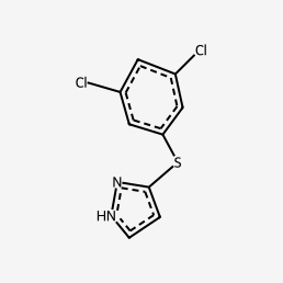 Clc1cc(Cl)cc(Sc2cc[nH]n2)c1